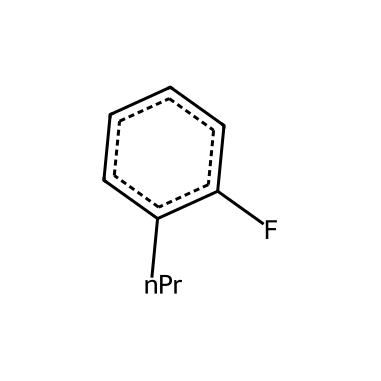 CCCc1ccccc1F